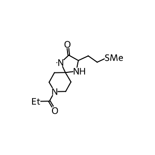 CCC(=O)N1CCC2(CC1)[N]C(=O)C(CCSC)N2